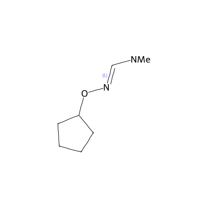 CN/C=N/OC1CCCC1